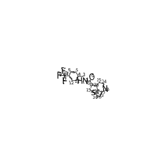 O=C(NCc1ccc(C(F)(F)F)cc1)C1CSC23CC=CC=C2N=CCC13